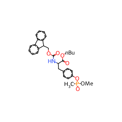 CCCCOC(=O)C(Cc1ccc(OP(C)(=O)OC)cc1)NC(=O)OCC1c2ccccc2-c2ccccc21